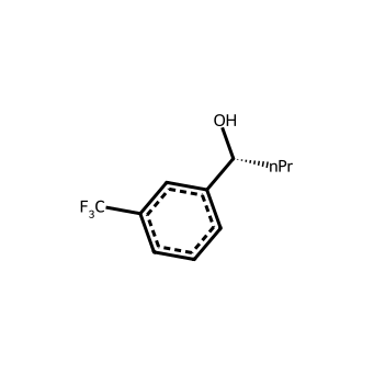 CCC[C@@H](O)c1cccc(C(F)(F)F)c1